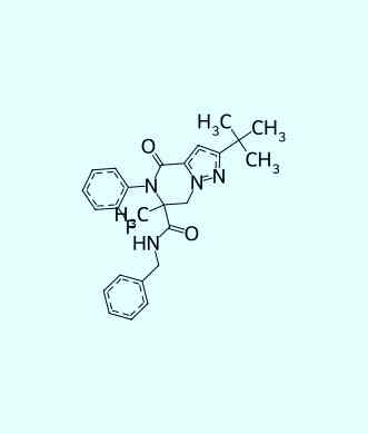 CC(C)(C)c1cc2n(n1)CC(C)(C(=O)NCc1ccccc1)N(c1ccccc1F)C2=O